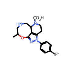 CC1CNCC2c3c(nn(-c4ccc(C(C)C)cc4)c3CCN2C(=O)O)O1